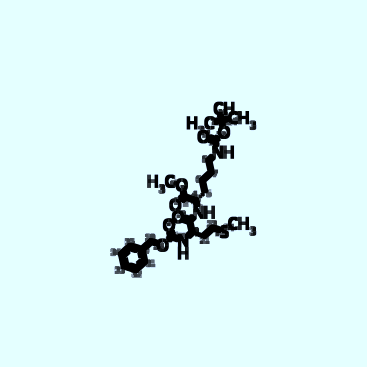 COC(=O)[C@H](CCCCNC(=O)OC(C)(C)C)NC(=O)[C@@H](CCSC)NC(=O)OCc1ccccc1